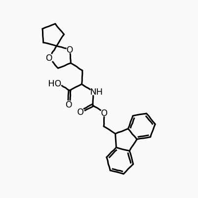 O=C(NC(CC1COC2(CCCC2)O1)C(=O)O)OCC1c2ccccc2-c2ccccc21